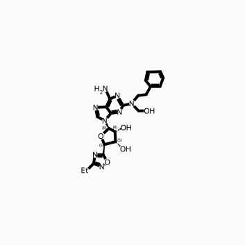 CCc1noc([C@H]2O[C@@H](n3cnc4c(N)nc(N(CO)CCc5ccccc5)nc43)[C@H](O)[C@@H]2O)n1